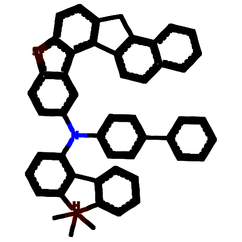 C[SH]1(C)(C)c2ccccc2-c2c(N(c3ccc(-c4ccccc4)cc3)c3ccc4sc5ccc6c(c5c4c3)-c3ccc4ccccc4c3C6)cccc21